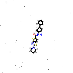 O=C(Nc1ccc(-c2ccccc2)cc1)c1cc2sc(N3CCCCC3)nc2s1